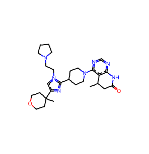 CC1CC(=O)Nc2ncnc(N3CCC(c4nc(C5(C)CCOCC5)cn4CCN4CCCC4)CC3)c21